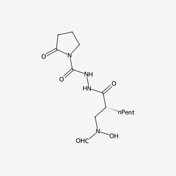 CCCCC[C@H](CN(O)C=O)C(=O)NNC(=O)N1CCCC1=O